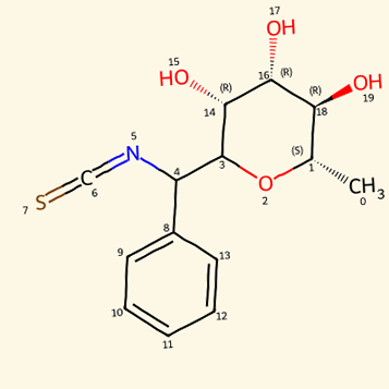 C[C@@H]1OC(C(N=C=S)c2ccccc2)[C@H](O)[C@H](O)[C@H]1O